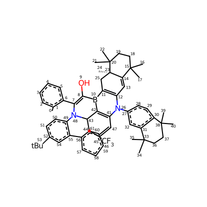 Cc1ccccc1C1=C(O)B2C3=C(C=C4C(C)(C)CCC(C)(C)[C@]4(C)C3)N(c3ccc4c(c3)C(C)(C)CCC4(C)C)C3=C2C(CC(C(F)(F)F)=C3)N1c1ccc(C(C)(C)C)cc1-c1ccccc1